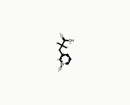 CC(C)(Cc1ccc[n+]([O-])c1)C(=O)O